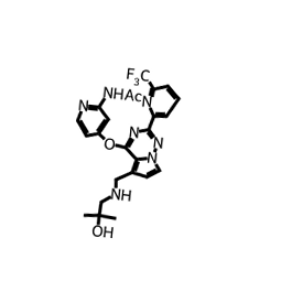 CC(=O)Nc1cc(Oc2nc(-c3cccc(C(F)(F)F)n3)nn3ccc(CNCC(C)(C)O)c23)ccn1